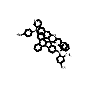 CC1C=C(C(C)(C)C)C=CC1N(c1cccnc1)c1ccc2c(c1)C1(c3cc4ccccc4cc3Oc3cc4ccccc4cc31)c1c-2c2ccccc2c2cc(N(c3ccc(C(C)(C)C)cc3)c3cccnc3)ccc12